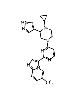 FC(F)(F)c1ccc2ncc(-c3nccc(N4CCN(C5CC5)C(c5cn[nH]c5)C4)n3)n2c1